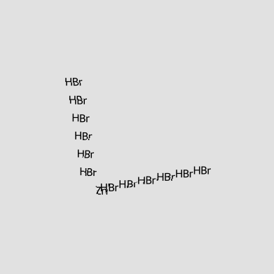 Br.Br.Br.Br.Br.Br.Br.Br.Br.Br.Br.Br.[Zn]